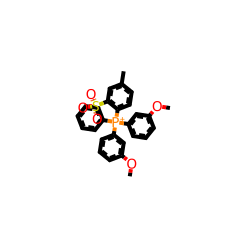 COc1cccc([P+](c2ccccc2)(c2cccc(OC)c2)c2ccc(C)cc2S(=O)(=O)[O-])c1